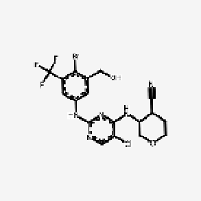 N#CC1CCOCC1Nc1nc(Nc2cc(CO)c(Br)c(C(F)(F)F)c2)ncc1Cl